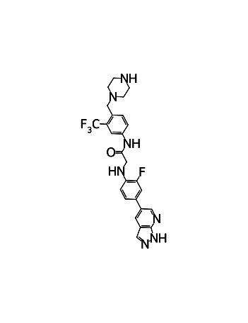 O=C(CNc1ccc(-c2cnc3[nH]ncc3c2)cc1F)Nc1ccc(CN2CCNCC2)c(C(F)(F)F)c1